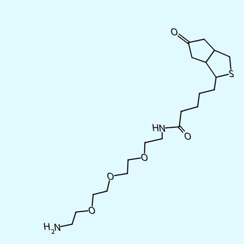 NCCOCCOCCOCCNC(=O)CCCCC1SCC2CC(=O)CC21